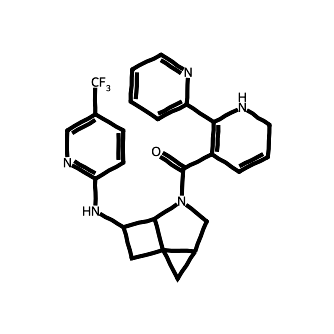 O=C(C1=C(c2ccccn2)NCC=C1)N1CC2CC23CC(Nc2ccc(C(F)(F)F)cn2)C13